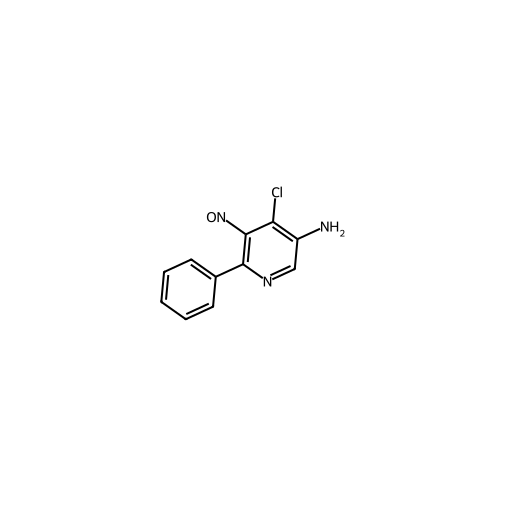 Nc1cnc(-c2ccccc2)c(N=O)c1Cl